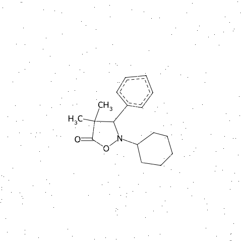 CC1(C)C(=O)ON(C2CCCCC2)C1c1ccccc1